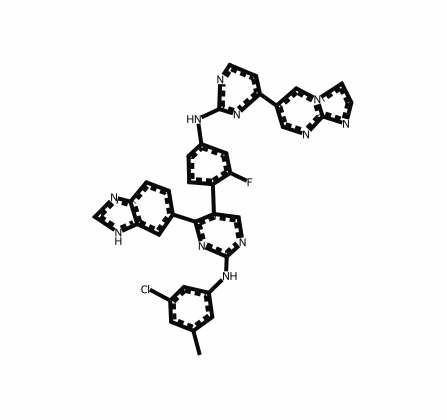 Cc1cc(Cl)cc(Nc2ncc(-c3ccc(Nc4nccc(-c5cnc6nccn6c5)n4)cc3F)c(-c3ccc4nc[nH]c4c3)n2)c1